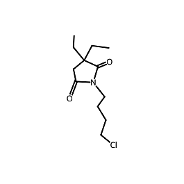 CCC1(CC)CC(=O)N(CCCCCl)C1=O